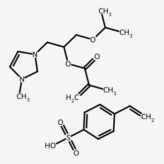 C=C(C)C(=O)OC(COC(C)C)CN1C=CN(C)C1.C=Cc1ccc(S(=O)(=O)O)cc1